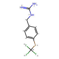 N=C(N)NCc1ccc(SC(F)(F)F)cc1